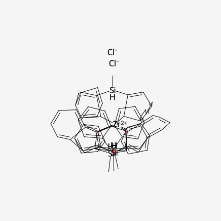 C[SiH]1C2=Cc3ccccc3[CH]2[Zr+2]234([CH]5C1=Cc1ccccc15)([CH]1C(=Cc5ccccc51)[SiH](C)C1=Cc5ccccc5[CH]12)([CH]1C(=Cc2ccccc21)[SiH](C)C1=Cc2ccccc2[CH]13)[CH]1C(=Cc2ccccc21)[SiH](C)C1=Cc2ccccc2[CH]14.[Cl-].[Cl-]